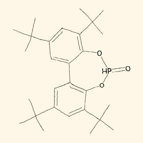 CC(C)(C)c1cc2c(c(C(C)(C)C)c1)O[PH](=O)Oc1c-2cc(C(C)(C)C)cc1C(C)(C)C